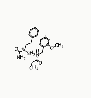 CCC(=O)NCc1cc[c]cc1OC.NC(=O)[C@H](N)CCc1ccccc1